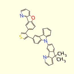 CC1(C)c2ccc(-n3c4ccccc4c4cc(-c5cscc5-c5ccc6oc7cccnc7c6c5)ccc43)cc2-c2ncccc21